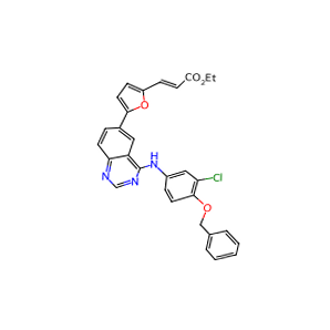 CCOC(=O)C=Cc1ccc(-c2ccc3ncnc(Nc4ccc(OCc5ccccc5)c(Cl)c4)c3c2)o1